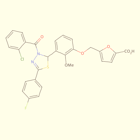 COc1c(OCc2ccc(C(=O)O)o2)cccc1C1SC(c2ccc(F)cc2)=NN1C(=O)c1ccccc1Cl